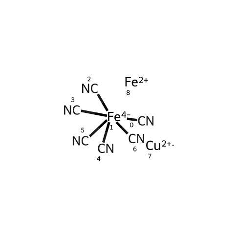 N#[C][Fe-4]([C]#N)([C]#N)([C]#N)([C]#N)[C]#N.[Cu+2].[Fe+2]